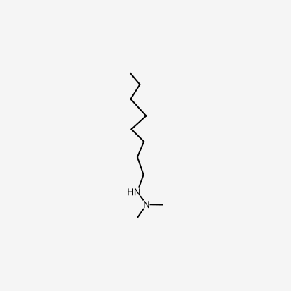 CCCCCCCCNN(C)C